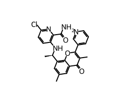 Cc1cc([C@@H](C)Nc2ccc(Cl)nc2C(N)=O)c2oc(-c3cccnc3)c(C)c(=O)c2c1